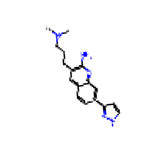 CCN(CCCc1cc2ccc(-c3cc[nH]n3)cc2nc1N)C(C)=O